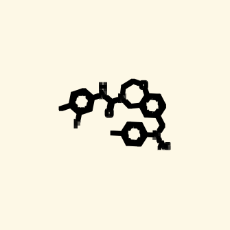 CC(=O)N(Cc1ccc2c(c1)CN(C(=O)Nc1ccc(C)c(F)c1)CCO2)c1ccc(C)cc1